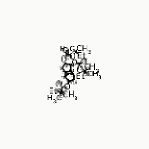 CCC(C)(C)OC(=O)OC1CC2C3CC(CC3OC(=O)C(C)(C)CC)C2C1OC(=O)OC(C)(C)CC